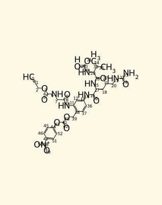 C#CCOC(=O)NCC(=O)Nc1cc(NC(=O)[C@H](CCCNC(N)=O)NC(=O)[C@@H](NC(=O)O)C(C)C)ccc1COC(=O)Oc1ccc([N+](=O)[O-])cc1